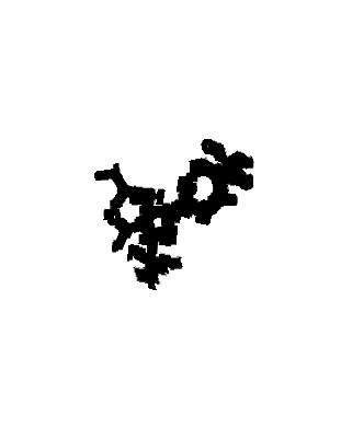 CCC(C)Nc1c(C(C)=O)c(C(F)(F)F)nn1-c1ccc(S(C)(=O)=O)nn1